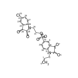 C=CCN1C(=O)C(=O)c2cc(S(=O)(=O)OCCN3C(=O)C(=O)c4cc(Cl)ccc43)ccc21